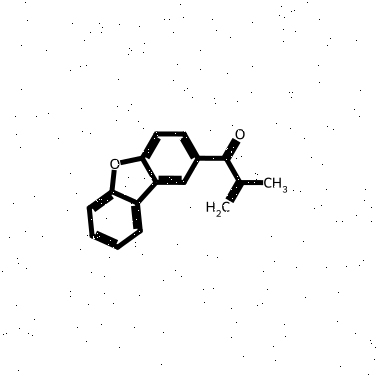 C=C(C)C(=O)c1ccc2oc3ccccc3c2c1